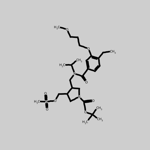 CCc1ccc(C(=O)N(CC2CN(C(=O)OC(C)(C)C)CC2COS(C)(=O)=O)C(C)C)cc1OCCCOC